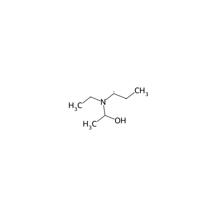 CC[CH]N(CC)C(C)O